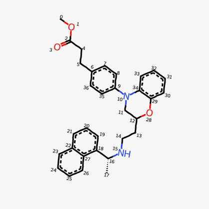 COC(=O)CCc1ccc(N2CC(CCN[C@H](C)c3cccc4ccccc34)Oc3ccccc32)cc1